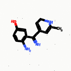 CC1=CC(C(=N)c2cc(O)ccc2N)=CCN1